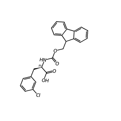 O=C(N[C@H](Cc1cccc(Cl)c1)C(=O)O)OCC1c2ccccc2-c2ccccc21